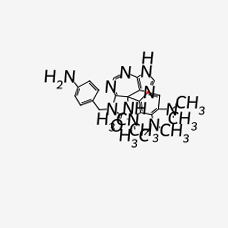 CN(C)c1ccc(C23NC(=O)N(Cc4ccc(N)cc4)C2=NC=Nc2[nH]cnc23)c(N(C)C)c1N(C)C